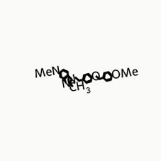 CNc1ccc2c(c1)nc(C)n2CCc1ccc(OCc2ccc(OC)cc2)cc1